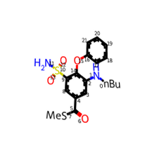 CCCCNc1cc(C(=O)SC)cc(S(N)(=O)=O)c1Oc1ccccc1